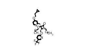 COCO[C@@]1(Cc2cc(OCCC3CC3)ccn2)C(=O)N(COC)[C@H]1COc1ccc(C(F)(F)F)cn1